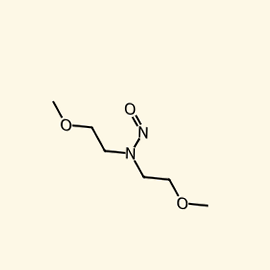 COCCN(CCOC)N=O